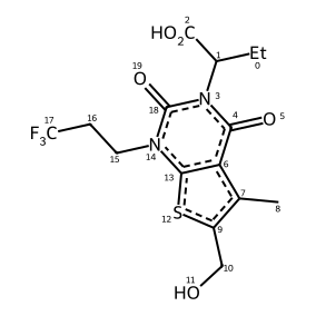 CCC(C(=O)O)n1c(=O)c2c(C)c(CO)sc2n(CCC(F)(F)F)c1=O